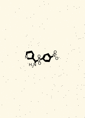 NC(c1cccnc1)S(=O)(=O)c1ccc([N+](=O)[O-])cc1